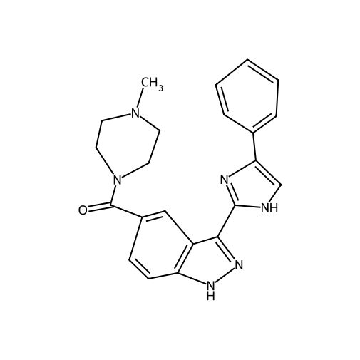 CN1CCN(C(=O)c2ccc3[nH]nc(-c4nc(-c5ccccc5)c[nH]4)c3c2)CC1